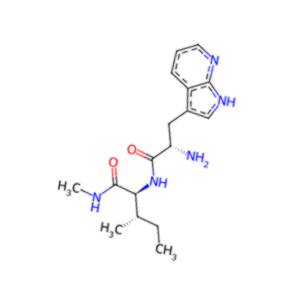 CC[C@H](C)[C@H](NC(=O)[C@@H](N)Cc1c[nH]c2ncccc12)C(=O)NC